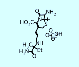 CCC(C)(NC/C=C/C1=C(C(=O)O)N2C(=O)[C@@H](N)[C@@H]2SC1)C(N)=O.[O-][Cl+3]([O-])([O-])O